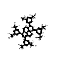 FC(F)(F)c1cc(C2=CC(c3cc(C(F)(F)F)cc(C(F)(F)F)c3)=C3C=CC4=C5C(=CC=C2C35)C(c2cc(C(F)(F)F)cc(C(F)(F)F)c2)C=C4c2cc(C(F)(F)F)cc(C(F)(F)F)c2)cc(C(F)(F)F)c1